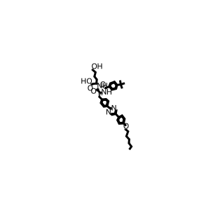 CCCCCCCOc1ccc(-c2cnc(-c3ccc(C[C@H](NC(=O)c4ccc(C(C)(C)C)cc4)C(=O)NC(CCCCO)C(=O)O)cc3)nc2)cc1